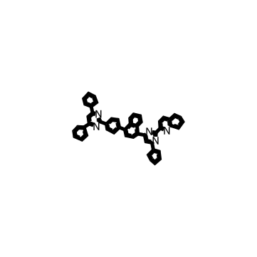 c1ccc(-c2cc(-c3ccccc3)nc(-c3ccc(-c4ccc(-c5cc(-c6ccccc6)nc(-c6ccc7ccccc7n6)n5)c5ccccc45)cc3)n2)cc1